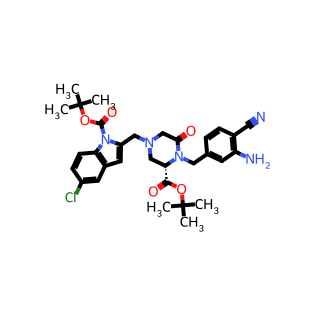 CC(C)(C)OC(=O)[C@@H]1CN(Cc2cc3cc(Cl)ccc3n2C(=O)OC(C)(C)C)CC(=O)N1Cc1ccc(C#N)c(N)c1